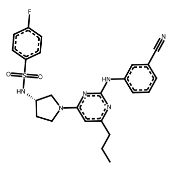 CCCc1cc(N2CC[C@H](NS(=O)(=O)c3ccc(F)cc3)C2)nc(Nc2cccc(C#N)c2)n1